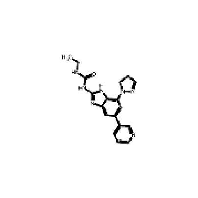 CCNC(=O)Nc1nc2cc(-c3cccnc3)cc(N3CCC=N3)c2[nH]1